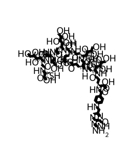 Nc1nc2ncc(CNc3ccc(C(=O)N[C@@H](CCC(=O)N[C@H](CC(=O)N[C@@H](CCC(=O)O)C(=O)N[C@H](CC(=O)N[C@@H](CCC(=O)O)C(=O)N[C@H](CC(=O)N[C@@H](CCC(=O)O)C(=O)N[C@H](CC(=O)N[C@@H](CS)C(=O)O)[C@@H](O)[C@H](O)[C@H](O)CO)[C@@H](O)[C@H](O)[C@H](O)CO)[C@@H](O)[C@H](O)[C@H](O)CO)[C@@H](O)[C@H](O)[C@H](O)CO)C(=O)O)cc3)nc2c(=O)[nH]1